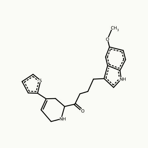 COc1ccc2[nH]cc(CCCC(=O)C3CC(c4cccs4)=CCN3)c2c1